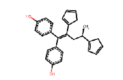 C[C@H](CC(C1=CC=CC1)=C(c1ccc(O)cc1)c1ccc(O)cc1)C1=CC=CC1